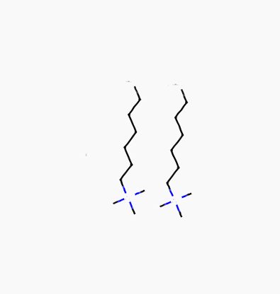 CCCCCCCCCCCCCCCC[N+](C)(C)CC.CCCCCCCCCCCCCCCC[N+](C)(C)CC.[Br-].[Cl-]